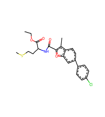 CCOC(=O)C(CCSC)NC(=O)c1oc2cc(-c3ccc(Cl)cc3)ccc2c1C